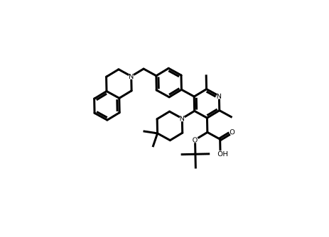 Cc1nc(C)c(C(OC(C)(C)C)C(=O)O)c(N2CCC(C)(C)CC2)c1-c1ccc(CN2CCc3ccccc3C2)cc1